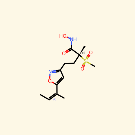 C/C=C(/C)c1cc(CC[C@](C)(C(=O)NO)S(C)(=O)=O)no1